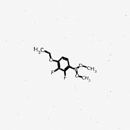 CCOc1ccc(B(OC)OC)c(F)c1F